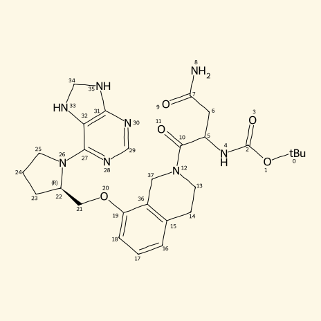 CC(C)(C)OC(=O)NC(CC(N)=O)C(=O)N1CCc2cccc(OC[C@H]3CCCN3c3ncnc4c3NCN4)c2C1